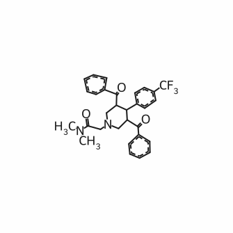 CN(C)C(=O)CN1CC(C(=O)c2ccccc2)C(c2ccc(C(F)(F)F)cc2)C(C(=O)c2ccccc2)C1